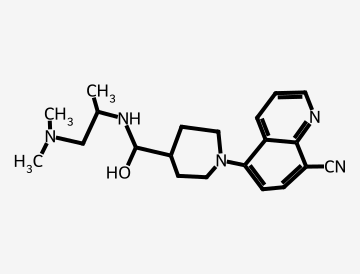 CC(CN(C)C)NC(O)C1CCN(c2ccc(C#N)c3ncccc23)CC1